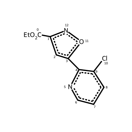 CCOC(=O)c1cc(-c2ncccc2Cl)on1